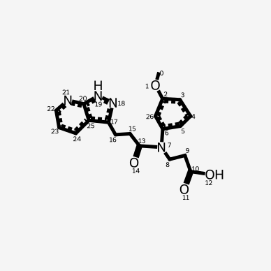 COc1cccc(N(CCC(=O)O)C(=O)CCc2n[nH]c3ncccc23)c1